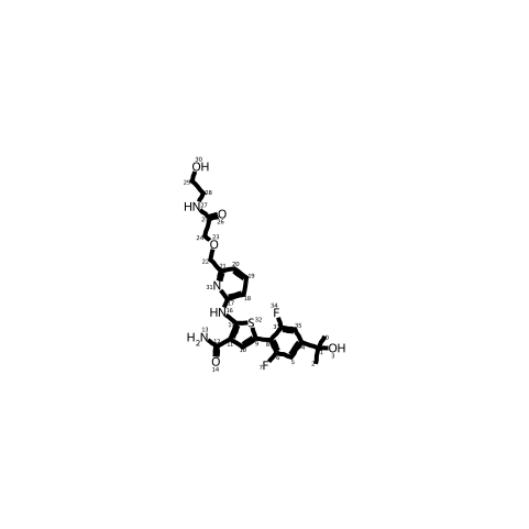 CC(C)(O)c1cc(F)c(-c2cc(C(N)=O)c(Nc3cccc(COCC(=O)NCCO)n3)s2)c(F)c1